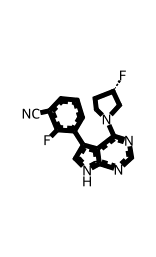 N#Cc1cccc(-c2c[nH]c3ncnc(N4CC[C@H](F)C4)c23)c1F